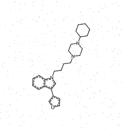 c1ccc2c(c1)c(-c1ccoc1)cn2CCCCN1CCN(C2CCCCC2)CC1